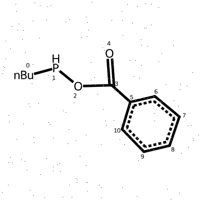 CCCCPOC(=O)c1ccccc1